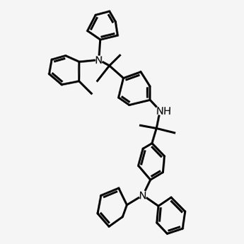 CC1C=CC=CC1N(c1ccccc1)C(C)(C)c1ccc(NC(C)(C)c2ccc(N(c3ccccc3)C3C=CC=CC3)cc2)cc1